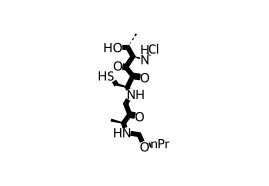 CCCOCN[C@@H](C)C(=O)CN[C@@H](CS)C(=O)C(=O)[C@@H](NCl)[C@@H](C)O